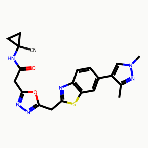 Cc1nn(C)cc1-c1ccc2nc(Cc3nnc(CC(=O)NC4(C#N)CC4)o3)sc2c1